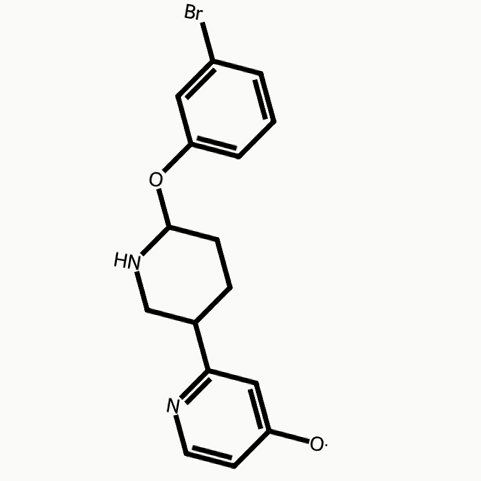 [O]c1ccnc(C2CCC(Oc3cccc(Br)c3)NC2)c1